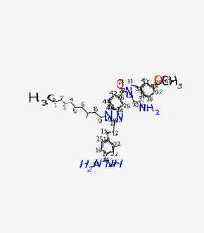 CCCCCCCCCCn1c(CCc2ccc(C(=N)N)cc2)nc2cc(C(=O)N(CCN)Cc3cccc(OC)c3)ccc21